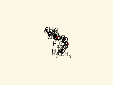 COc1ccc(CN(c2ncns2)S(=O)(=O)c2cc3oc(=O)n([C@H](C)c4cccc5c4CN(C(=O)OC(C)(C)C)CC5)c3cc2F)c(C)c1